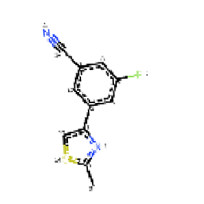 Cc1nc(-c2cc(F)cc(C#N)c2)cs1